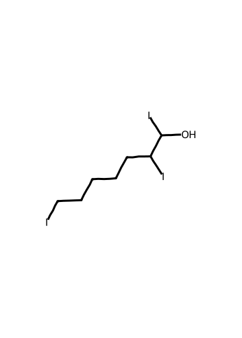 OC(I)C(I)CCCCCI